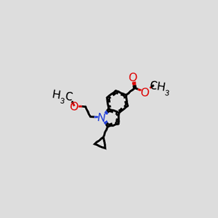 COCCn1c(C2CC2)cc2cc(C(=O)OC)ccc21